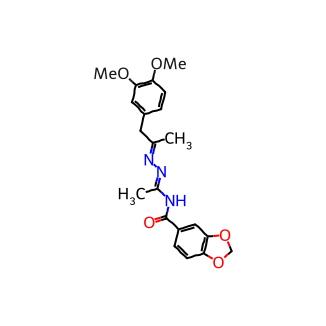 COc1ccc(C/C(C)=N/N=C(\C)NC(=O)c2ccc3c(c2)OCO3)cc1OC